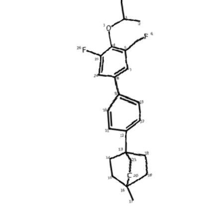 CC(C)Oc1c(F)cc(-c2ccc(C34CCC(C)(CC3)CC4)cc2)cc1F